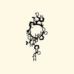 CCn1c(-c2cccnc2[C@H](C)OC)c2c3cc(ccc31)-c1csc(n1)C[C@H](NC(=O)[C@H](C(C)C)N(C)C(=O)[C@H]1CCN(C(=O)CNC)C1)C(=O)N1CCC[C@H](N1)C(=O)OCC(C)(C)C2